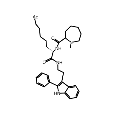 CC(=O)CCCCC[C@H](NC(=O)C1CCCCCN1C)C(=O)NCCc1c(-c2ccccc2)[nH]c2ccccc12